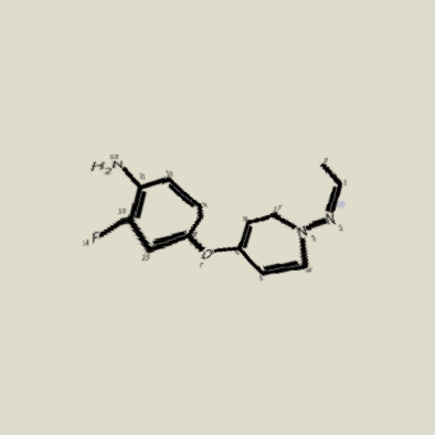 C/C=N\N1C=CC(Oc2ccc(N)c(F)c2)=CC1